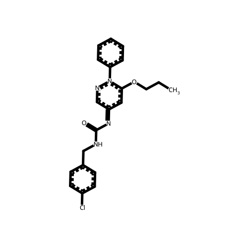 CCCOc1cc(=NC(=O)NCc2ccc(Cl)cc2)cnn1-c1ccccc1